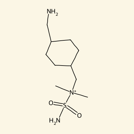 C[N+](C)(CC1CCC(CN)CC1)S(N)(=O)=O